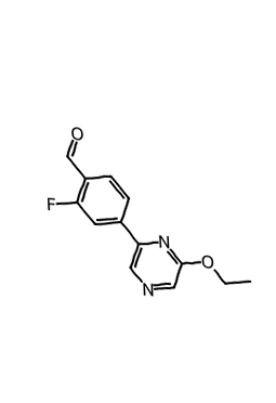 CCOc1cncc(-c2ccc(C=O)c(F)c2)n1